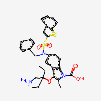 CCC(CC)(CN)Oc1c(C)n(C(=O)O)c2ccc(N(Cc3ccccc3)S(=O)(=O)c3cc4ccccc4s3)cc12